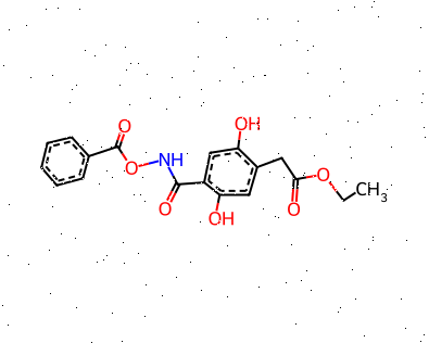 CCOC(=O)Cc1cc(O)c(C(=O)NOC(=O)c2ccccc2)cc1O